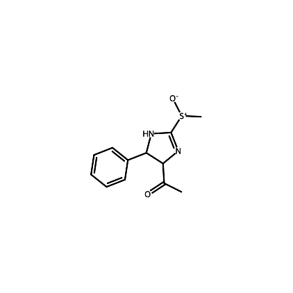 CC(=O)C1N=C([S+](C)[O-])NC1c1ccccc1